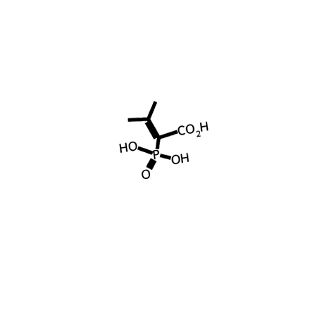 CC(C)=C(C(=O)O)P(=O)(O)O